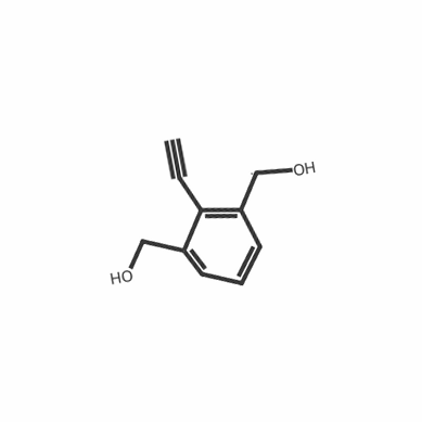 C#Cc1c([CH]O)cccc1CO